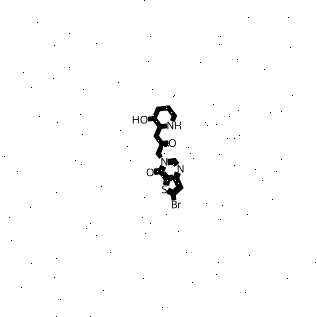 O=C(CC1NCCCC1O)Cn1cnc2cc(Br)sc2c1=O